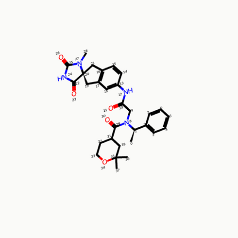 C[C@H](c1ccccc1)N(CC(=O)Nc1ccc2c(c1)C[C@@]1(C2)C(=O)NC(=O)N1C)C(=O)C1CCOC(C)(C)C1